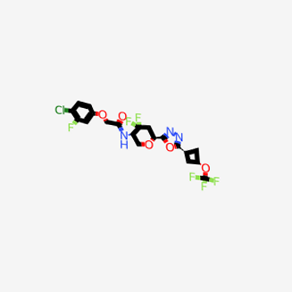 O=C(COc1ccc(Cl)c(F)c1)N[C@H]1CO[C@H](c2nnc([C@H]3C[C@@H](OC(F)(F)F)C3)o2)CC1(F)F